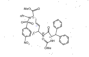 CCCN([C@@H](C/C=C/C(NC(=O)[C@@H](NC(=O)OC)C(c1ccccc1)c1ccccc1)C(F)(F)F)C(=O)OC)S(=O)(=O)c1ccc([N+](=O)[O-])cc1